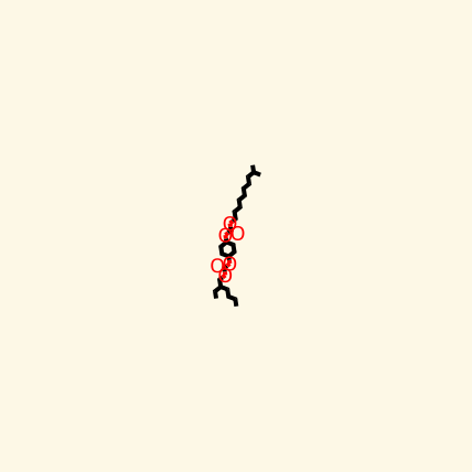 CCCCC(CC)COC(=O)OC1CCC(OC(=O)OCCCCCCCCC(C)C)CC1